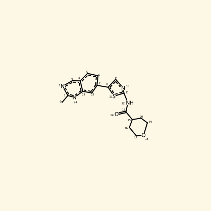 Cc1ncc2ccc(-c3cnc(NC(=O)C4CCOCC4)s3)cc2n1